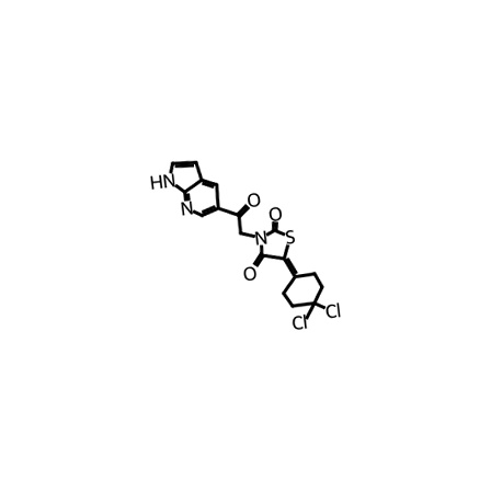 O=C(CN1C(=O)SC(=C2CCC(Cl)(Cl)CC2)C1=O)c1cnc2[nH]ccc2c1